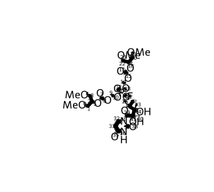 COCC(COC)OC(=O)OCOP(=O)(OCOC(=O)OC(COC)COC)OC[C@@]1(CF)O[C@@H](n2ccc(=O)[nH]c2=O)[C@](C)(O)[C@@]1(C)O